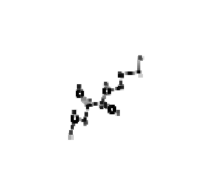 CCCCOC(=O)C(=O)COC